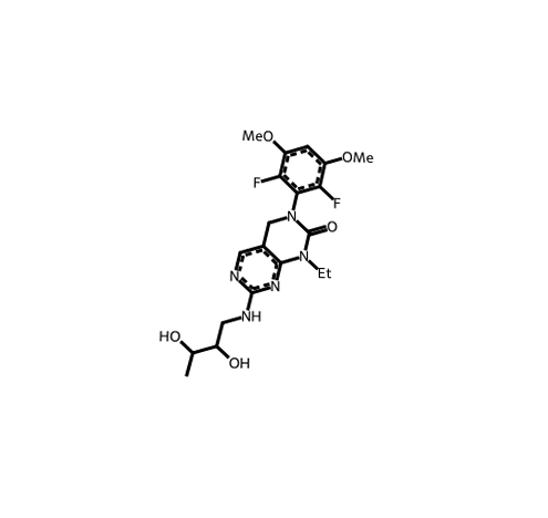 CCN1C(=O)N(c2c(F)c(OC)cc(OC)c2F)Cc2cnc(NCC(O)C(C)O)nc21